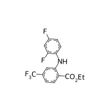 CCOC(=O)c1ccc(C(F)(F)F)cc1Nc1ccc(F)cc1F